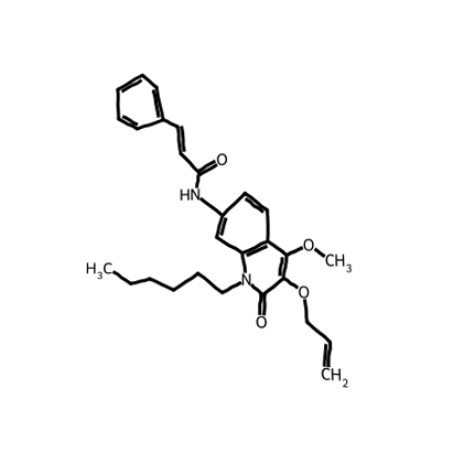 C=CCOc1c(OC)c2ccc(NC(=O)/C=C/c3ccccc3)cc2n(CCCCCC)c1=O